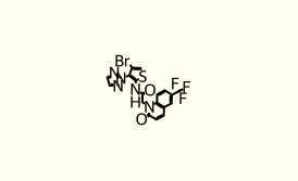 O=C(Cn1c(=O)ccc2cc(C(F)(F)F)ccc21)Nc1scc(Br)c1-n1nccn1